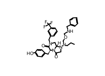 CCCN(COCNCc1ccccc1)N1CC(=O)N2[C@@H](Cc3ccc(O)cc3)C(=O)N(Cc3cccc(C(F)(F)F)c3)C[C@@H]21